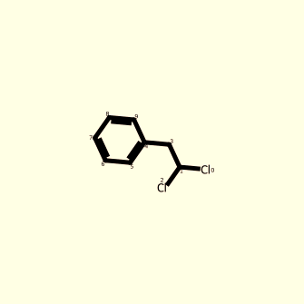 Cl[C](Cl)Cc1ccccc1